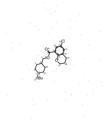 CCCCN1CCC(COC(=O)c2cc(Cl)cc3c2OCCC3)CC1